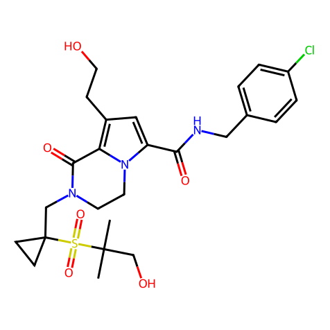 CC(C)(CO)S(=O)(=O)C1(CN2CCn3c(C(=O)NCc4ccc(Cl)cc4)cc(CCO)c3C2=O)CC1